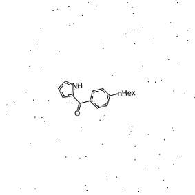 CCCCCCc1ccc(C(=O)c2ccc[nH]2)cc1